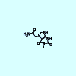 Cn1c(=O)[nH]c2c(c1=O)N(CC(N)=O)CN2